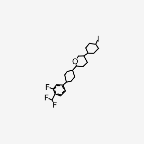 Fc1cc(C2CCC(C3CCC(C4CCC(I)CC4)CO3)CC2)ccc1C(F)F